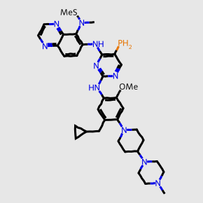 COc1cc(N2CCC(N3CCN(C)CC3)CC2)c(CC2CC2)cc1Nc1ncc(P)c(Nc2ccc3nccnc3c2N(C)SC)n1